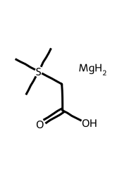 CS(C)(C)CC(=O)O.[MgH2]